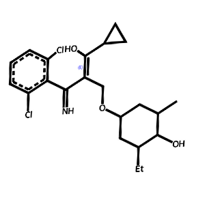 CCC1CC(OC/C(C(=N)c2c(Cl)cccc2Cl)=C(/O)C2CC2)CC(C)C1O